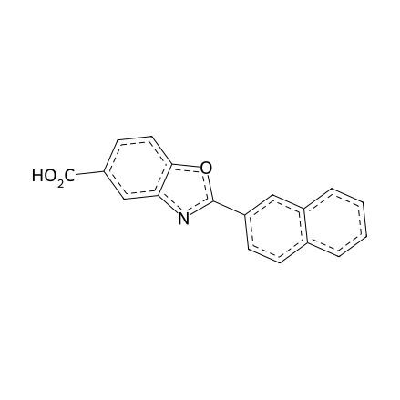 O=C(O)c1ccc2oc(-c3ccc4ccccc4c3)nc2c1